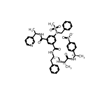 CC(NC(=O)c1cc(C(=O)N[C@H](CN[C@@H](C)C(=O)N[C@H](C)c2ccc([N+](=O)[O-])cc2)Cc2ccccc2)cc(N(Cc2ccccc2)S(C)(=O)=O)c1)c1cccnc1